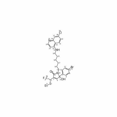 CCSC(C1=CC(O)(c2ccc(Br)cc2)N(CCCCCCNc2ccnc3cc(Cl)ccc23)C1=O)C(F)(F)F